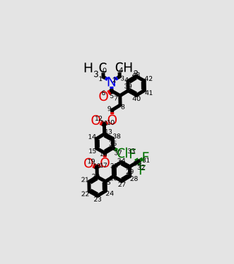 CCN(CC)C(=O)C(CCOC(=O)c1ccc(OC(=O)c2ccccc2-c2ccc(C(F)(F)F)cc2)c(Cl)c1)c1ccccc1